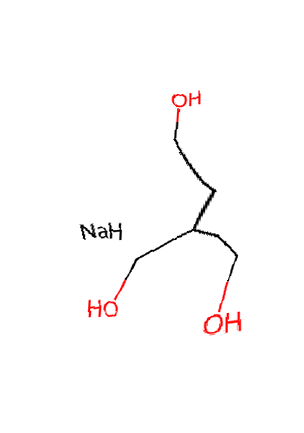 OCCC(CO)CO.[NaH]